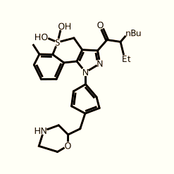 CCCCC(CC)C(=O)c1nn(-c2ccc(CC3CNCCO3)cc2)c2c1CS(O)(O)c1c(C)cccc1-2